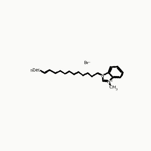 CCCCCCCCCCCCCCCCCCCCCCn1c[n+](C)c2ccccc21.[Br-]